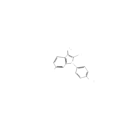 Cc1ccc(-n2c(C)c(C#N)c3ccc(O)cc32)cc1